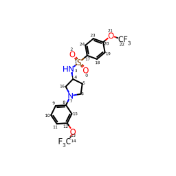 O=S(=O)(N[C@H]1CCN(c2cccc(OC(F)(F)F)c2)C1)c1ccc(OC(F)(F)F)cc1